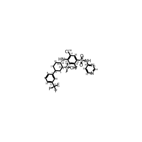 C[N+](C)(O)[C@H]1CC(c2cccc(C(F)(F)F)c2)CC[C@@H]1Nc1cc(F)c(S(=O)(=O)Nc2ccncn2)cc1Cl